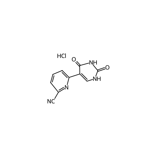 Cl.N#Cc1cccc(-c2c[nH]c(=O)[nH]c2=O)n1